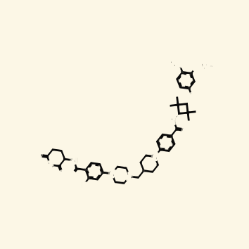 COc1cc(O[C@H]2C(C)(C)[C@H](NC(=O)c3ccc(N4CCC(CN5CCN(c6ccc(C(=O)NC7CCC(=O)NC7=O)c(F)c6)CC5)CC4)cc3)C2(C)C)ccc1C#N